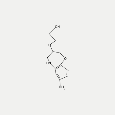 Nc1ccc2c(c1)NCC(OCCO)CO2